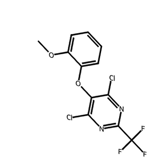 COc1ccccc1Oc1c(Cl)nc(C(F)(F)F)nc1Cl